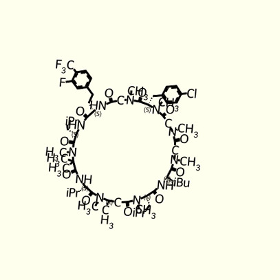 CC[C@H](C)[C@@H]1NC(=O)[C@H](CC(C)C)N(C)C(=O)C[C@@H](C)N(C)C(=O)[C@H](C(C)C)NC(=O)C(C)(C)N(C)C(=O)[C@H](CC(C)C)NC(=O)[C@H](CCc2ccc(C(F)(F)F)c(F)c2)NC(=O)CN(C)C(=O)[C@H](Cc2ccc(Cl)cc2)N(C)C(=O)CN(C)C(=O)CN(C)C1=O